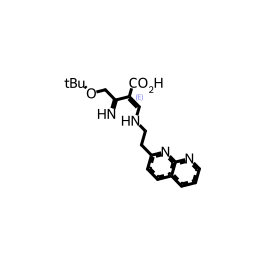 CC(C)(C)OCC(=N)/C(=C\NCCc1ccc2cccnc2n1)C(=O)O